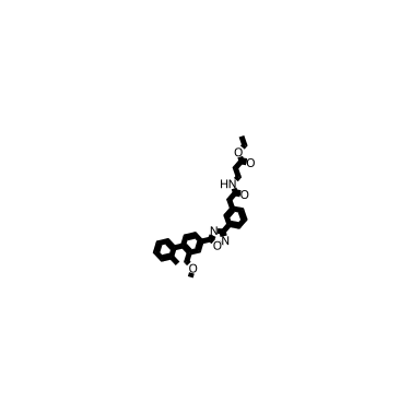 CCOC(=O)CCNC(=O)Cc1cccc(-c2noc(-c3ccc(-c4ccccc4C)c(COC)c3)n2)c1